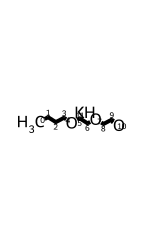 CCCCOCCOCC=O.[KH]